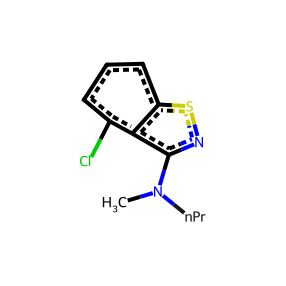 CCCN(C)c1nsc2cccc(Cl)c12